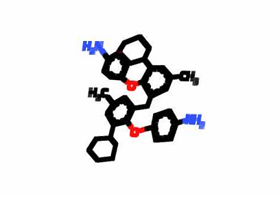 Cc1cc(Cc2cc(C)cc(C3CCCCC3)c2Oc2ccc(N)cc2)c(Oc2ccc(N)cc2)c(C2CCCCC2)c1